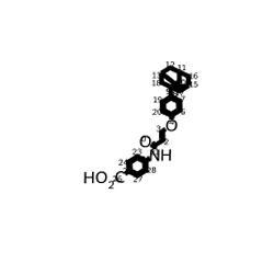 O=C(/C=C/Oc1ccc(C23CC4CC(CC(C4)C2)C3)cc1)Nc1ccc(C(=O)O)cc1